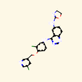 Fc1cncc(COc2ccc(Nc3ncnc4ccc(NC5=NCCO5)cc34)cc2Cl)c1